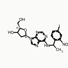 CC(Nc1ncnc2c1ncn2[C@H]1CC(O)[C@@H](CO)O1)c1ccc(I)cc1[N+](=O)[O-]